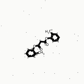 Cc1ccccc1OC(=O)CC(=O)Oc1ccccc1C